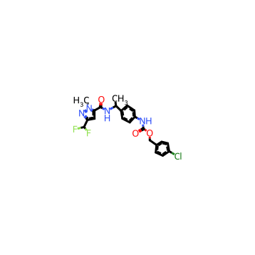 CC(NC(=O)c1cc(C(F)F)nn1C)c1ccc(NC(=O)OCc2ccc(Cl)cc2)cc1